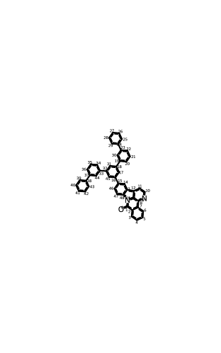 O=c1c2ccccc2c2nccc3c4cc(-c5cc(-c6cccc(-c7ccccc7)c6)cc(-c6cccc(-c7ccccc7)c6)c5)ccc4n1c32